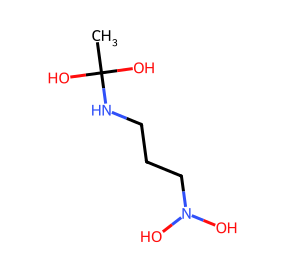 CC(O)(O)NCCCN(O)O